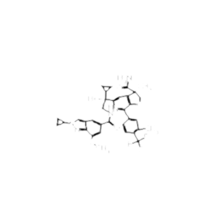 COc1cc(C(=O)NC[C@](O)(c2cc3c(c(-c4ccc(C(F)(F)F)c(C)c4)n2)OC[C@]3(C)C(N)=O)C2CC2)cc2cn(C3CC3)nc12